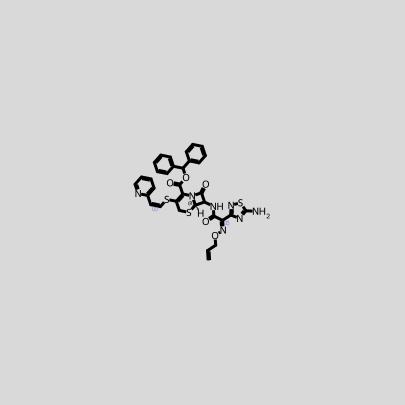 C=CCO/N=C(\C(=O)NC1C(=O)N2C(C(=O)OC(c3ccccc3)c3ccccc3)=C(S/C=C\c3ccccn3)CS[C@H]12)c1nsc(N)n1